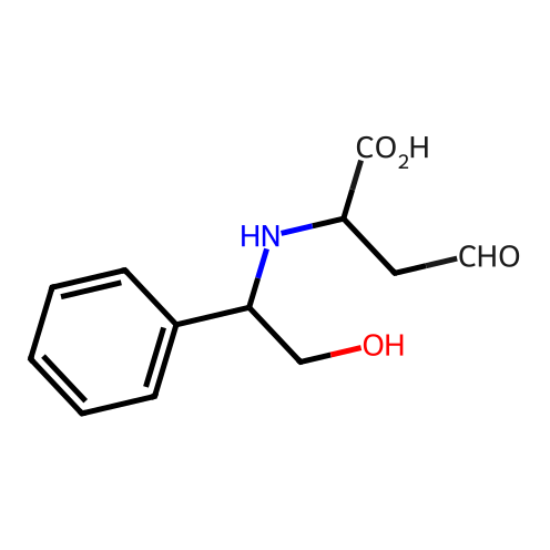 O=CCC(NC(CO)c1ccccc1)C(=O)O